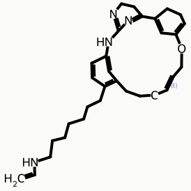 C=CNCCCCCCCc1ccc2cc1CCC/C=C/COC1=CCCC(=C1)C1=NC(=NCC1)N2